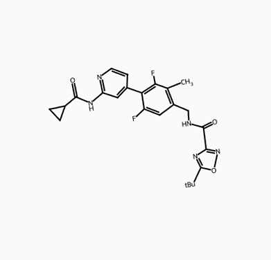 Cc1c(CNC(=O)c2noc(C(C)(C)C)n2)cc(F)c(-c2ccnc(NC(=O)C3CC3)c2)c1F